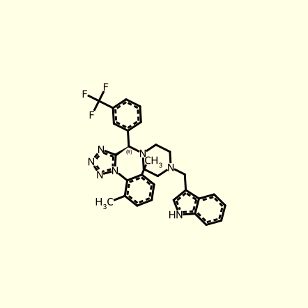 Cc1cccc(C)c1-n1nnnc1[C@@H](c1cccc(C(F)(F)F)c1)N1CCN(Cc2c[nH]c3ccccc23)CC1